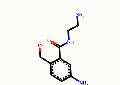 NCCNC(=O)c1cc(N)ccc1CO